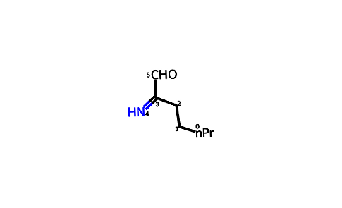 CCCCCC(=N)C=O